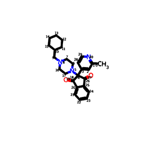 Cc1cc(C2(N3CCN(CC4CCCCC4)CC3)C(=O)c3ccccc3C2=O)ccn1